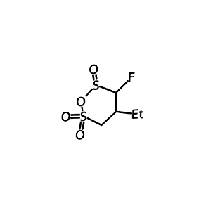 CCC1CS(=O)(=O)OS(=O)C1F